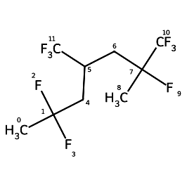 CC(F)(F)CC(CC(C)(F)C(F)(F)F)C(F)(F)F